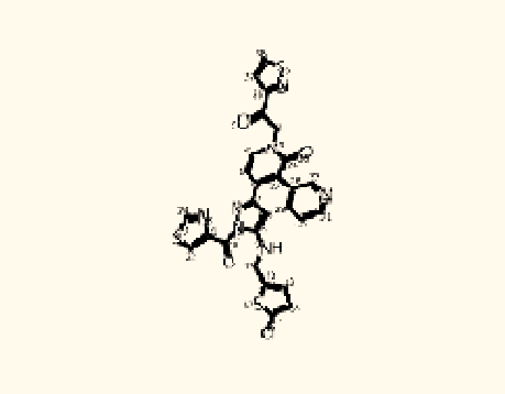 O=C(Cn1ccc(-c2cc(NCc3ccc(Cl)s3)n(C(=O)c3cscn3)n2)c(-c2cccnc2)c1=O)c1ccsn1